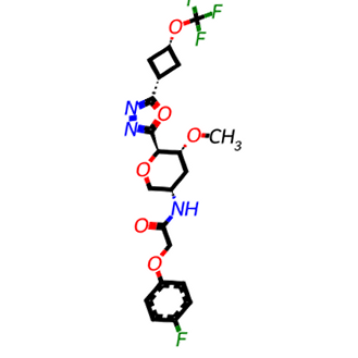 CO[C@@H]1C[C@H](NC(=O)COc2ccc(F)cc2)CO[C@H]1c1nnc([C@H]2C[C@@H](OC(F)(F)F)C2)o1